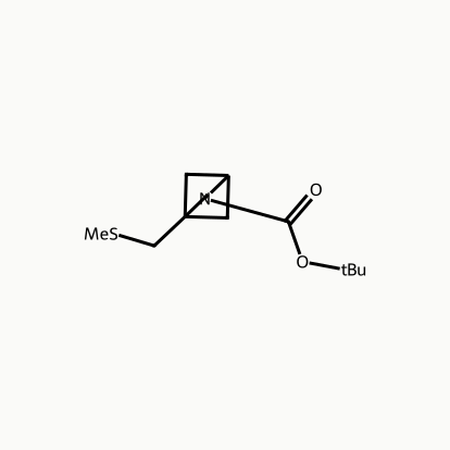 CSCC12CC(C1)N(C(=O)OC(C)(C)C)C2